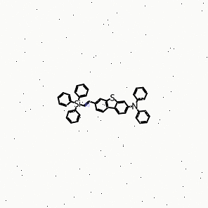 C(=C\[Si](c1ccccc1)(c1ccccc1)c1ccccc1)/c1ccc2c(c1)sc1cc(N(c3ccccc3)c3ccccc3)ccc12